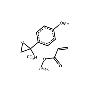 C=CC(=O)OCCCCCC.COc1ccc(C2(C(=O)O)CO2)cc1